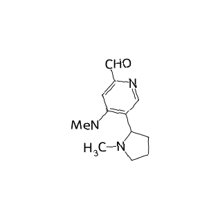 CNc1cc(C=O)ncc1C1CCCN1C